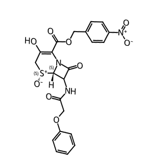 O=C(COc1ccccc1)NC1C(=O)N2C(C(=O)OCc3ccc([N+](=O)[O-])cc3)=C(O)C[S@@+]([O-])[C@@H]12